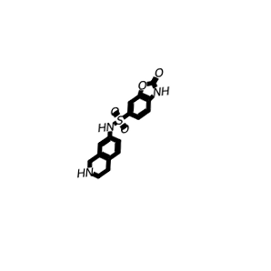 O=c1[nH]c2ccc(S(=O)(=O)Nc3ccc4c(c3)CNCC4)cc2o1